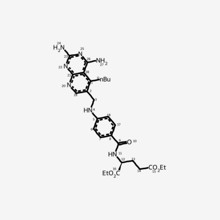 CCCCc1c(CNc2ccc(C(=O)N[C@@H](CCC(=O)OCC)C(=O)OCC)cc2)cnc2nc(N)nc(N)c12